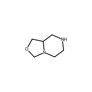 [CH]1OCN2CCNCC12